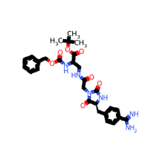 CC(C)(C)OC(=O)C(CNC(=O)CN1C(=O)N[C@@H](Cc2ccc(C(=N)N)cc2)C1=O)NC(=O)OCc1ccccc1